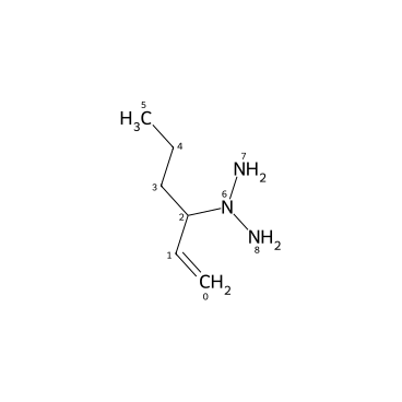 C=CC(CCC)N(N)N